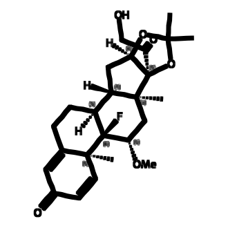 CO[C@H]1C[C@@]2(C)[C@@H](C[C@H]3OC(C)(C)O[C@]32C(=O)CO)[C@@H]2CCC3=CC(=O)C=C[C@]3(C)[C@@]12F